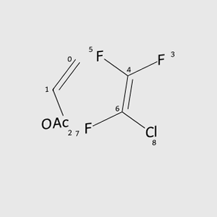 C=COC(C)=O.FC(F)=C(F)Cl